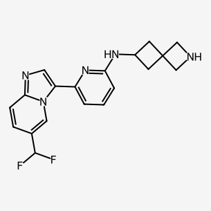 FC(F)c1ccc2ncc(-c3cccc(NC4CC5(CNC5)C4)n3)n2c1